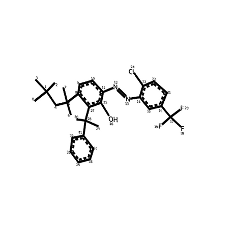 CC(C)(C)CC(C)(C)c1ccc(N=Nc2cc(C(F)(F)F)ccc2Cl)c(O)c1C(C)(C)c1ccccc1